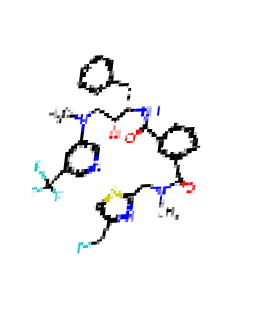 CN(Cc1nc(CF)cs1)C(=O)c1cccc(C(=O)N[C@@H](Cc2ccccc2)[C@H](O)CN(C)c2cncc(C(F)(F)F)c2)c1